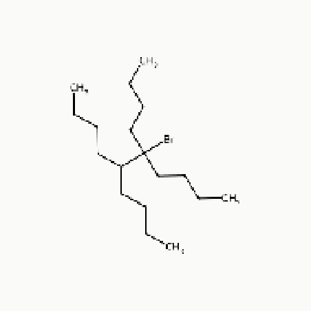 CCCCC(CCCC)C(Br)(CCCC)CCCC